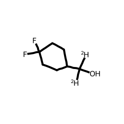 [2H]C([2H])(O)C1CCC(F)(F)CC1